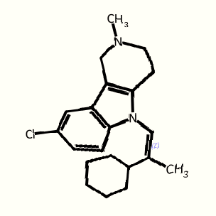 C/C(=C/n1c2c(c3cc(Cl)ccc31)CN(C)CC2)C1CCCCC1